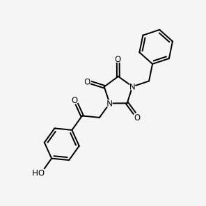 O=C(CN1C(=O)C(=O)N(Cc2ccccc2)C1=O)c1ccc(O)cc1